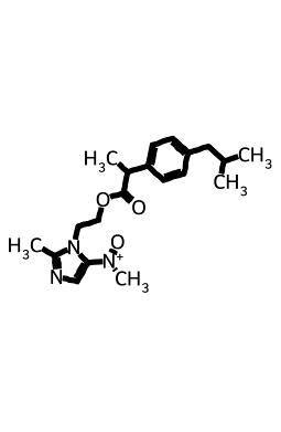 Cc1ncc([N+](C)=O)n1CCOC(=O)C(C)c1ccc(CC(C)C)cc1